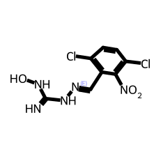 N=C(NO)N/N=C/c1c(Cl)ccc(Cl)c1[N+](=O)[O-]